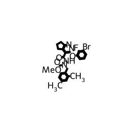 COC(=O)N(Cc1ccc(C)cc1C)NC(=O)c1c(Oc2cccc(Br)c2F)nnc2c1CCC2